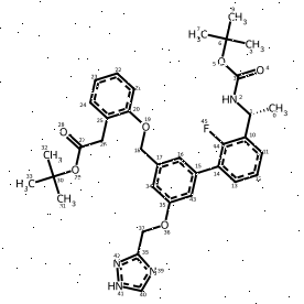 C[C@@H](NC(=O)OC(C)(C)C)c1cccc(-c2cc(COc3ccccc3CC(=O)OC(C)(C)C)cc(OCc3nc[nH]n3)c2)c1F